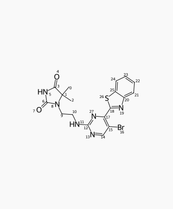 CC1(C)C(=O)NC(=O)N1CCNc1ncc(Br)c(-c2nc3ccccc3s2)n1